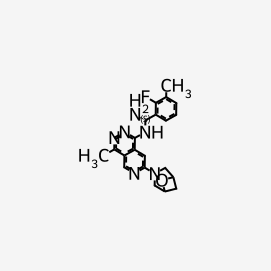 Cc1cccc([C@@H](N)Nc2nnc(C)c3cnc(N4CC5CC(C4)O5)cc23)c1F